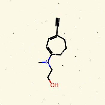 C#CC1=CC=C(N(C)CCO)CCC1